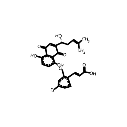 CC(C)=CC[C@@H](O)C1=CC(=O)c2c(O)ccc(O)c2C1=O.O=C(O)/C=C/c1ccc(Cl)cc1Cl